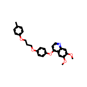 COc1cc2nccc(Oc3ccc(OCCCOc4ccc(C)cc4)cc3)c2cc1OC